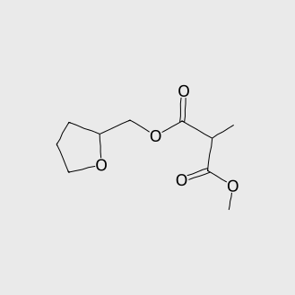 COC(=O)C(C)C(=O)OCC1CCCO1